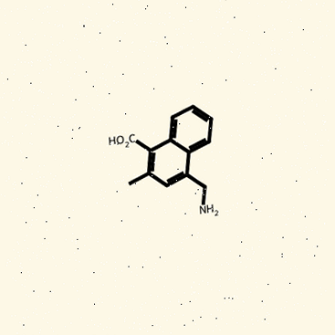 Cc1cc(CN)c2ccccc2c1C(=O)O